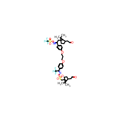 CC1(C)C2C(CC=O)CCC21C/C(=N\OS(=O)(=O)C(F)(F)F)c1ccc(OCCCOc2ccc(/C(=N/OS(=O)(=O)CC34CCC(CC=O)C3C4(C)C)C(F)(F)F)cc2)cc1